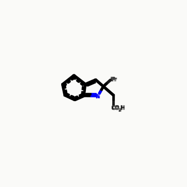 CC(C)C1(CC(=O)O)C=c2ccccc2=N1